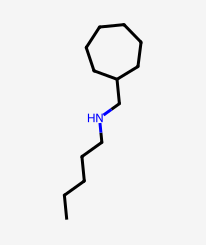 CCCCCNCC1CCCCCC1